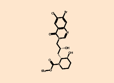 CC(C)(C)OC(=O)N1CCC[C@H](O)[C@H]1C[C@@H](O)Cn1cnc2cc(Br)c(Cl)cc2c1=O